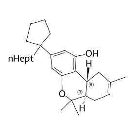 CCCCCCCC1(c2cc(O)c3c(c2)OC(C)(C)[C@@H]2CC=C(C)C[C@@H]32)CCCC1